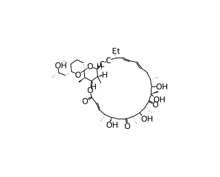 CC[C@@H]1/C=C/C=C/C[C@H](C)C(O)[C@](C)(O)C(=O)[C@H](C)[C@@H](O)[C@H](C)C(=O)[C@H](C)[C@@H](O)[C@H](C)/C=C/C(=O)O[C@H]2[C@@H](C)[C@@H](CC1)O[C@@]1(CC[C@@H](C)[C@@H](C[C@H](C)O)O1)[C@@H]2C